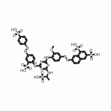 COc1cc(N=Nc2ccc3cc(S(=O)(=O)O)cc(S(=O)(=O)O)c3c2)ccc1Nc1nc(Nc2ccc(N=Nc3ccc(S(=O)(=O)O)cc3)cc2S(=O)(=O)O)nc(NC(C)S(=O)(=O)O)n1